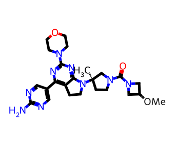 COC1CN(C(=O)N2CC[C@@](C)(N3CCc4c(-c5cnc(N)nc5)nc(N5CCOCC5)nc43)C2)C1